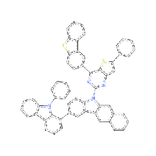 c1ccc(-c2cc3nc(-n4c5ccc(-c6cccc7c8ccccc8n(-c8ccccc8)c67)cc5c5cc6ccccc6cc54)nc(-c4ccc5sc6ccccc6c5c4)c3s2)cc1